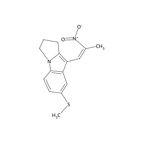 CSc1ccc2c(c1)c(C=C(C)[N+](=O)[O-])c1n2CCC1